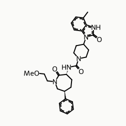 COCCN1C[C@H](c2ccccc2)CC[C@@H](NC(=O)N2CCC(n3c(=O)[nH]c4c(C)cccc43)CC2)C1=O